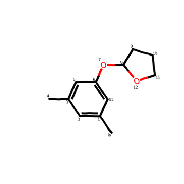 Cc1cc(C)cc(OC2CCCO2)c1